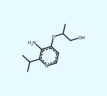 CC(CO)Oc1ccnc(C(C)C)c1N